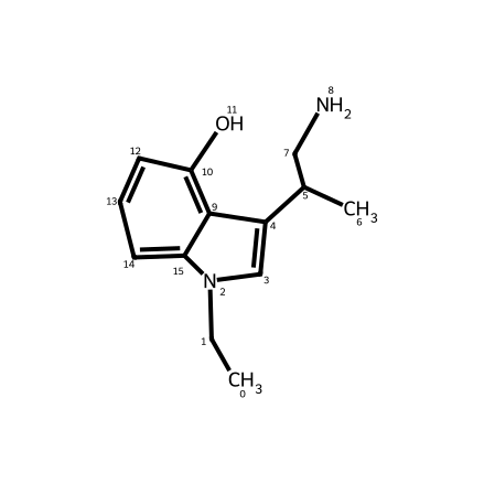 CCn1cc(C(C)CN)c2c(O)cccc21